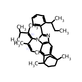 C/C=C(C)\C(=C(\C)C(C)C)n1c(-c2ccccc2C(C)CC)nc2cc3c(cc21)C1(C)CCC3(C)CC1